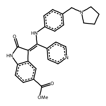 COC(=O)c1ccc2c(c1)/C(=C(/Nc1ccc(CN3CCCC3)cc1)c1ccncc1)C(=O)N2